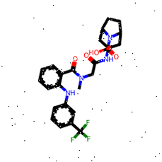 CN(CC(=O)NC1CC2CCC(C1)N2C(=O)O)C(=O)c1ccccc1Nc1cccc(C(F)(F)F)c1